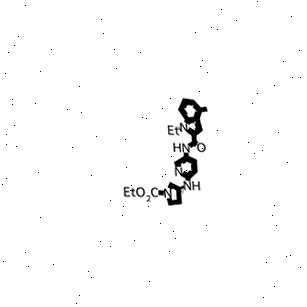 CCOC(=O)N1CC[C@H](Nc2ccc(NC(=O)c3cc4c(C)cccc4n3CC)cn2)C1